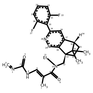 C=NC(=O)N/C=C(\C)C(=O)N(CC)C[C@@]12CC[C@@H](c3cc(-c4c(F)cccc4F)nnc31)C2(C)C